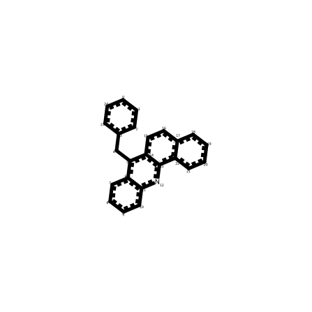 c1ccc(Cc2c3ccccc3nc3c2ccc2ccccc23)cc1